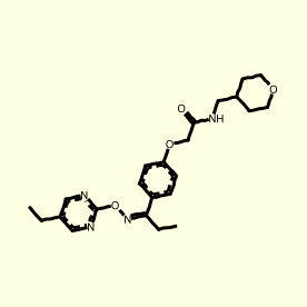 CC/C(=N/Oc1ncc(CC)cn1)c1ccc(OCC(=O)NCC2CCOCC2)cc1